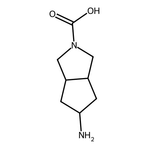 NC1CC2CN(C(=O)O)CC2C1